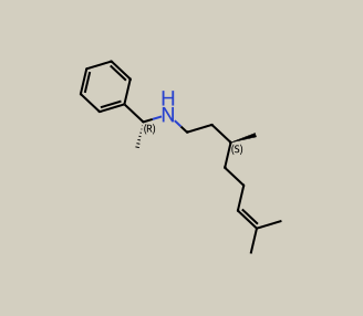 CC(C)=CCC[C@H](C)CCN[C@H](C)c1ccccc1